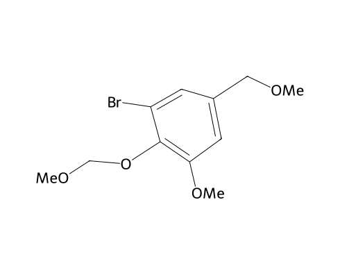 COCOc1c(Br)cc(COC)cc1OC